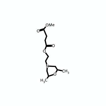 COC(=O)CCC(=O)OCCN1CC(C)OC(C)C1